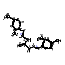 N=C(N/N=C/c1ccc(O)cc1O)N/N=C/c1ccc(O)cc1O